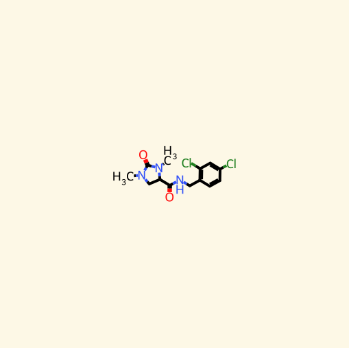 CN1CC(C(=O)NCc2ccc(Cl)cc2Cl)N(C)C1=O